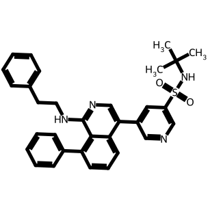 CC(C)(C)NS(=O)(=O)c1cncc(-c2cnc(NCCc3ccccc3)c3c(-c4ccccc4)cccc23)c1